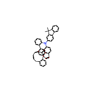 C=C1/C=C\C=C/Cc2ccccc2C12c1ccccc1-c1ccc(N(c3ccc4c(c3)C(C)(C)c3ccccc3-4)c3ccccc3-c3ccccc3)cc12